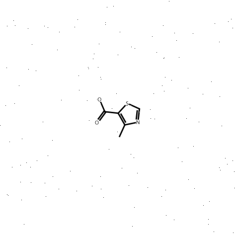 Cc1ncsc1C([O])=O